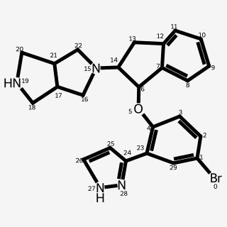 Brc1ccc(OC2c3ccccc3CC2N2CC3CNCC3C2)c(-c2cc[nH]n2)c1